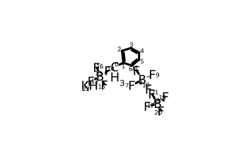 Cc1ccccc1.F[B-](F)(F)F.F[B-](F)(F)F.F[B-](F)(F)F.[KH]